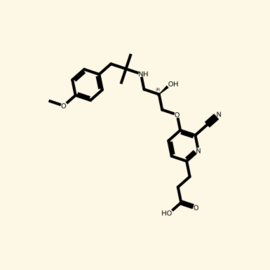 COc1ccc(CC(C)(C)NC[C@@H](O)COc2ccc(CCC(=O)O)nc2C#N)cc1